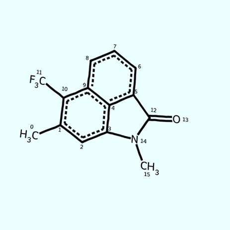 Cc1cc2c3c(cccc3c1C(F)(F)F)C(=O)N2C